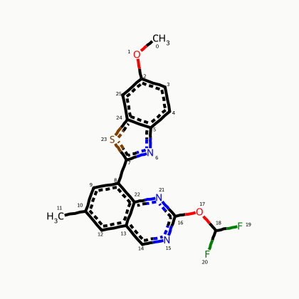 COc1ccc2nc(-c3cc(C)cc4cnc(OC(F)F)nc34)sc2c1